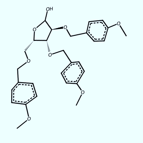 COc1ccc(COC[C@@H]2OC(O)[C@@H](OCc3ccc(OC)cc3)[C@@H]2OCc2ccc(OC)cc2)cc1